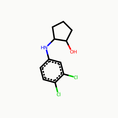 OC1CCCC1Nc1ccc(Cl)c(Cl)c1